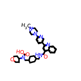 CN1CCN(c2ccc(-c3cc(C(=O)NCC4CCC(CN(C(=O)O)C5CCOCC5)CC4)c4ccccc4n3)cn2)CC1